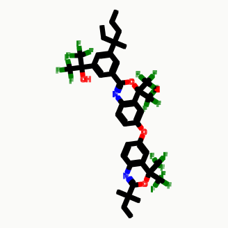 CCCC(C)(CC)c1cc(C2=Nc3ccc(Oc4ccc5c(c4)C(C(F)(F)F)(C(F)(F)F)OC(C(C)(C)CC)=N5)cc3C(C(F)(F)F)(C(F)(F)F)O2)cc(C(O)(C(F)(F)F)C(F)(F)F)c1